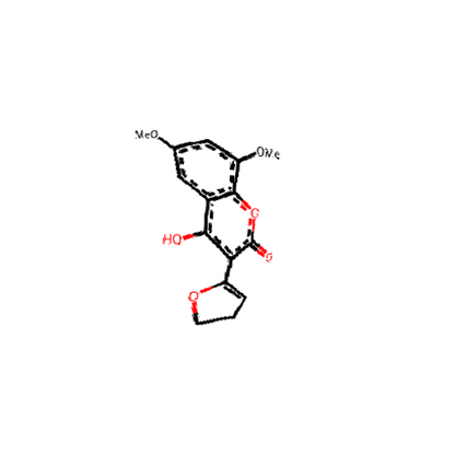 COc1cc(OC)c2oc(=O)c(C3=CCCO3)c(O)c2c1